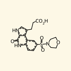 O=C(O)CCc1c[nH]c2c(=O)[nH]c3ccc(S(=O)(=O)N4CCOCC4)cc3c12